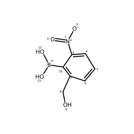 O=[N+]([O-])c1cccc(CO)c1B(O)O